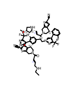 CCNC/C=C/C(=O)N1Cc2sc(C#N)cc2[C@H](c2cc(CCn3cc(-c4c(F)cccc4[C@@H]4CN(C(=O)/C=C/[C@@H]5C[C@H](OC)CN5)Cc5sc(C#N)cc54)c(C(F)(F)F)n3)cc(F)c2-c2cn(CC)nc2C(F)(F)F)C1